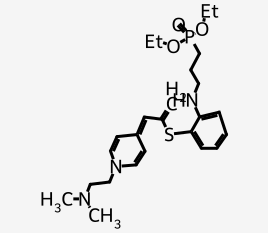 C=C(C=C1C=CN(CCN(C)C)C=C1)Sc1ccccc1NCCCP(=O)(OCC)OCC